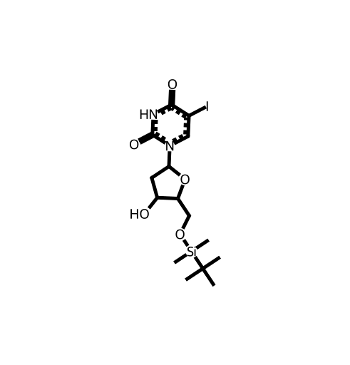 CC(C)(C)[Si](C)(C)OCC1OC(n2cc(I)c(=O)[nH]c2=O)CC1O